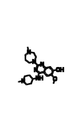 COc1cc2c(NC3CCN(C)CC3)nc(N3CCCN(C)CC3)nc2cc1O